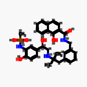 CC(C)(Cc1cccc(CNC(=O)c2ccc3ccccc3c2O)c1)NC[C@@H](O)c1ccc(O)c(NS(C)(=O)=O)c1